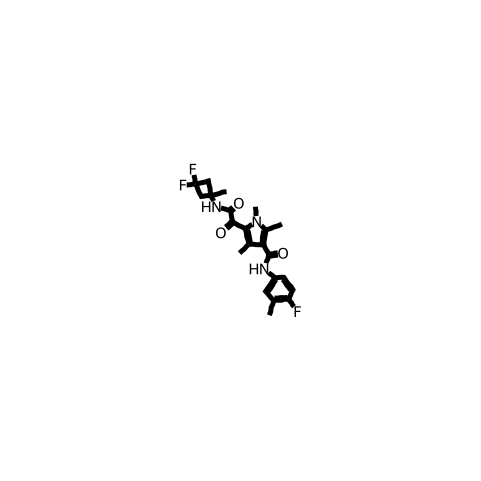 Cc1cc(NC(=O)c2c(C)c(C(=O)C(=O)NC3(C)CC(F)(F)C3)n(C)c2C)ccc1F